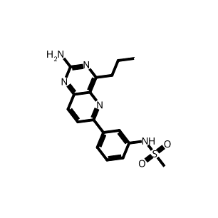 CCCc1nc(N)nc2ccc(-c3cccc(NS(C)(=O)=O)c3)nc12